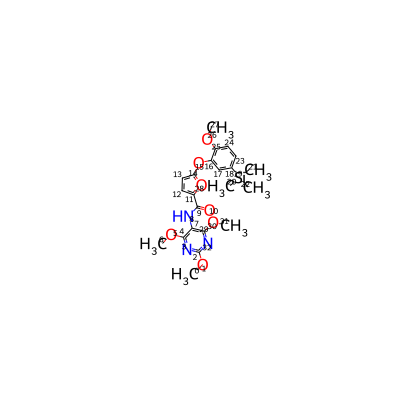 COc1nc(OC)c(NC(=O)c2ccc(Oc3cc([Si](C)(C)C)ccc3OC)o2)c(OC)n1